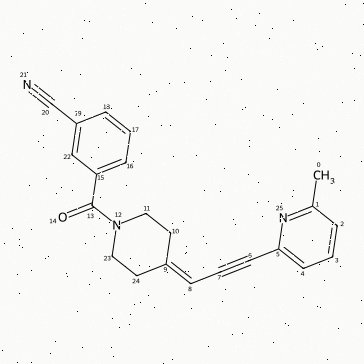 Cc1cccc(C#CC=C2CCN(C(=O)c3cccc(C#N)c3)CC2)n1